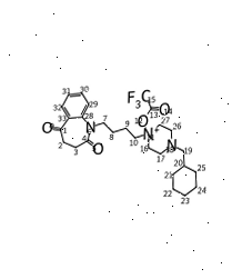 O=C1CCC(=O)N(CCCC[N+]2(OC(=O)C(F)(F)F)CCN(CC3CCCCC3)CC2)c2ccccc21